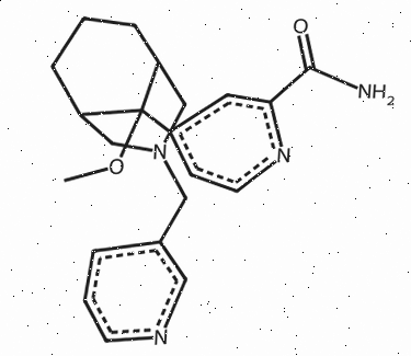 COC1(c2ccnc(C(N)=O)c2)C2CCCC1CN(Cc1cccnc1)C2